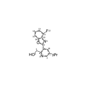 CC(C)c1cnc(CO)c(-c2nc3c(F)cccc3o2)c1